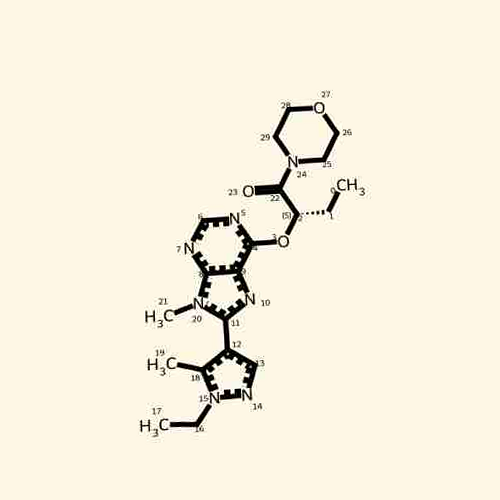 CC[C@H](Oc1ncnc2c1nc(-c1cnn(CC)c1C)n2C)C(=O)N1CCOCC1